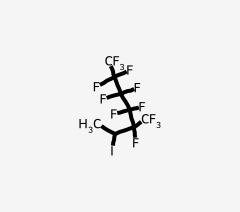 CC(I)C(F)(C(F)(F)F)C(F)(F)C(F)(F)C(F)(F)C(F)(F)F